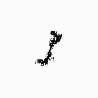 Cc1c(OCCC[C@@H]2CCN(CC(=O)Nc3ccc4c(C5CCC(=O)NC5=O)nn(C)c4c3)[C@H](C)C2)cccc1-c1ccc(N2CCc3ccnc(C(=O)Nc4nc5ccccc5s4)c3C2)nc1C(=O)O